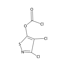 O=C(Cl)Oc1snc(Cl)c1Cl